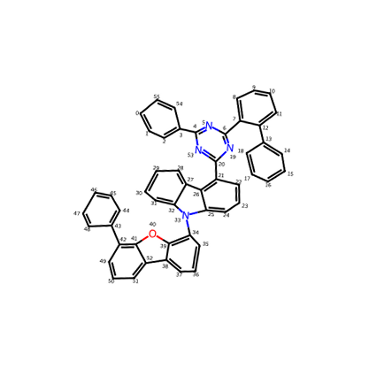 c1ccc(-c2nc(-c3ccccc3-c3ccccc3)nc(-c3cccc4c3c3ccccc3n4-c3cccc4c3oc3c(-c5ccccc5)cccc34)n2)cc1